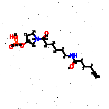 C#CCCCC(=O)NCCCCCC(=O)N1CC[C@H](O[PH](=O)O)C1